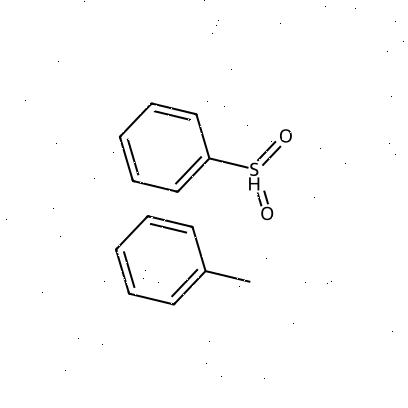 Cc1ccccc1.O=[SH](=O)c1ccccc1